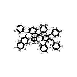 c1ccc(N(c2ccc3c(c2)C2(c4ccccc4-3)c3ccccc3-n3c4ccccc4c4c3c2cc2c3ccccc3n(-c3ccccc3)c24)c2ccc3ccccc3c2)cc1